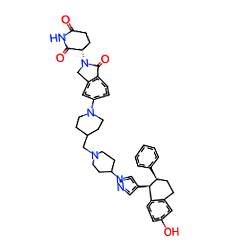 O=C1CC[C@H](N2Cc3cc(N4CCC(CN5CCC(n6cc([C@@H]7c8ccc(O)cc8CC[C@@H]7c7ccccc7)cn6)CC5)CC4)ccc3C2=O)C(=O)N1